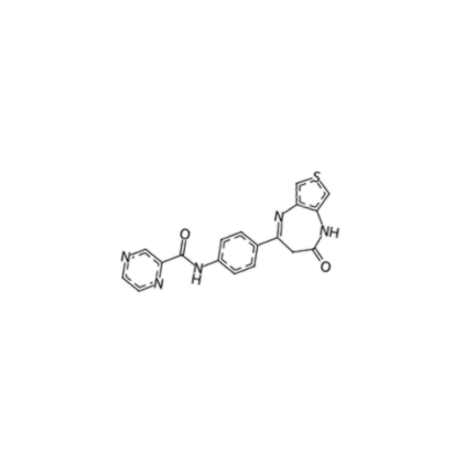 O=C1CC(c2ccc(NC(=O)c3cnccn3)cc2)=Nc2cscc2N1